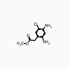 COC(=O)Cc1cc(Cl)c(N)cc1N